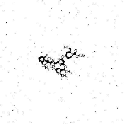 C[C@H](Oc1cc(O[C@H]2CCN(C(=O)OC(C)(C)C)[C@H](CC#N)C2)nc(-c2noc(C(C)(C)c3c(F)cccc3Cl)n2)n1)[C@@H]1C[C@H](F)CN1C